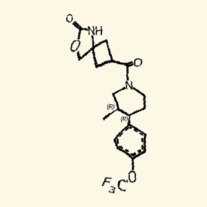 C[C@H]1CN(C(=O)C2CC3(COC(=O)N3)C2)CC[C@H]1c1ccc(OC(F)(F)F)cc1